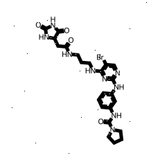 O=C(CC1NC(=O)NC1=O)NCCCNc1nc(Nc2cccc(NC(=O)N3CCCC3)c2)ncc1Br